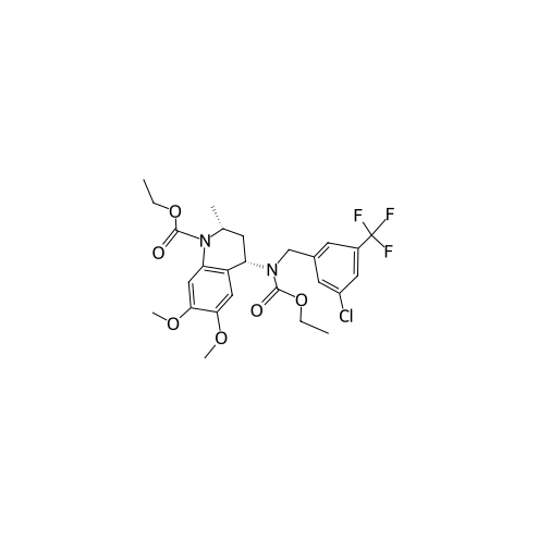 CCOC(=O)N(Cc1cc(Cl)cc(C(F)(F)F)c1)[C@H]1C[C@@H](C)N(C(=O)OCC)c2cc(OC)c(OC)cc21